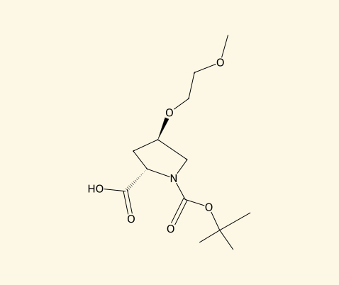 COCCO[C@@H]1C[C@@H](C(=O)O)N(C(=O)OC(C)(C)C)C1